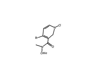 CON(C)C(=O)C1=C(Br)C=CN(Cl)C1